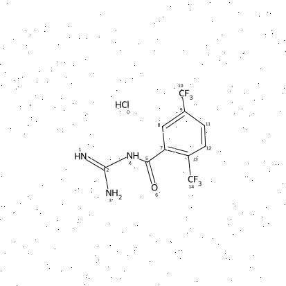 Cl.N=C(N)NC(=O)c1cc(C(F)(F)F)ccc1C(F)(F)F